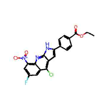 CCOC(=O)c1ccc(-c2cc3c(Cl)c4cc(F)cc([N+](=O)[O-])c4nc3[nH]2)cc1